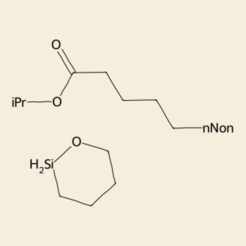 C1CC[SiH2]OC1.CCCCCCCCCCCCCC(=O)OC(C)C